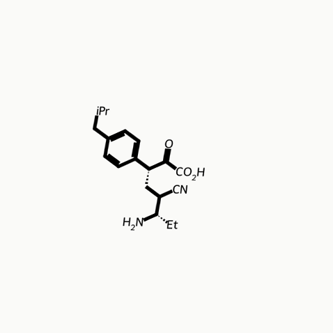 CC[C@H](N)C(C#N)C[C@@H](C(=O)C(=O)O)c1ccc(CC(C)C)cc1